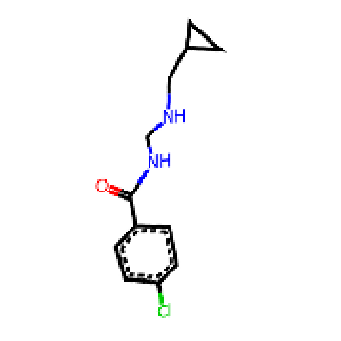 O=C(NCNCC1CC1)c1ccc(Cl)cc1